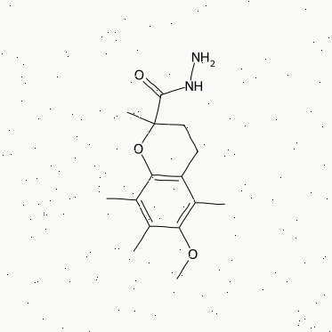 COc1c(C)c(C)c2c(c1C)CCC(C)(C(=O)NN)O2